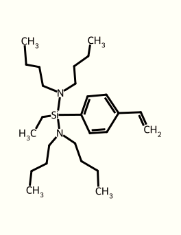 C=Cc1ccc([Si](CC)(N(CCCC)CCCC)N(CCCC)CCCC)cc1